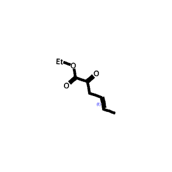 C/C=C/CC(=O)C(=O)OCC